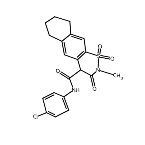 CN1C(=O)C(C(=O)Nc2ccc(Cl)cc2)c2cc3c(cc2S1(=O)=O)CCCC3